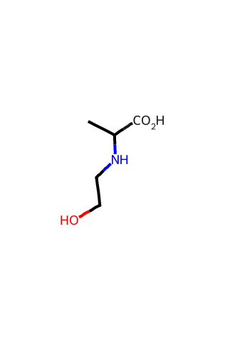 CC(NCCO)C(=O)O